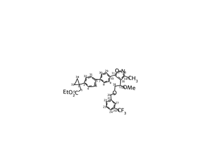 CCOC(=O)CC1(c2ccc(-c3ccc(-c4onc(C)c4C(COCc4cccc(C(F)(F)F)c4)OC)cc3)cc2)CC1